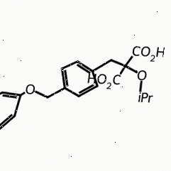 CC(C)OC(Cc1ccc(COc2ccccc2)cc1)(C(=O)O)C(=O)O